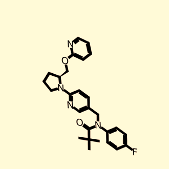 CC(C)(C)C(=O)N(Cc1ccc(N2CCC[C@H]2COc2ccccn2)nc1)c1ccc(F)cc1